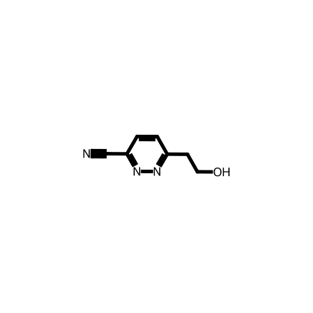 N#Cc1ccc(CCO)nn1